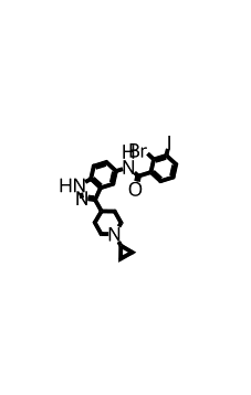 O=C(Nc1ccc2[nH]nc(C3CCN(C4CC4)CC3)c2c1)c1cccc(I)c1Br